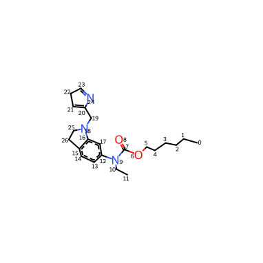 CCCCCCOC(=O)N(CC)c1ccc2c(c1)N(CC1=CCC=N1)CC2